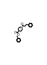 O=C(OCc1ccccc1)C1CCN(C(=O)CCc2ccccc2)CC1